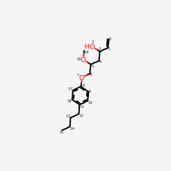 C=CC(O)CC(COc1ccc(CCCC)cc1)OC